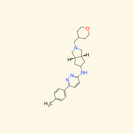 Cc1ccc(-c2ccc(NC3C[C@@H]4CN(CC5CCOCC5)C[C@@H]4C3)nn2)cc1